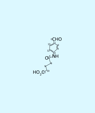 O=Cc1ccc(NC(=O)CCCC(=O)O)cc1